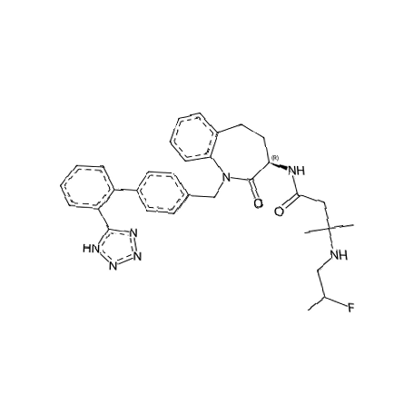 CC(F)CNC(C)(C)CC(=O)N[C@@H]1CCc2ccccc2N(Cc2ccc(-c3ccccc3-c3nnn[nH]3)cc2)C1=O